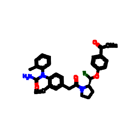 COC(=O)c1ccc(OC(F)[C@@H]2CCCN2C(=O)Cc2ccc(N(C(N)=O)c3ccccc3C)c(OC)c2)cc1